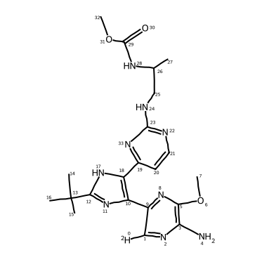 [2H]c1nc(N)c(OC)nc1-c1nc(C(C)(C)C)[nH]c1-c1ccnc(NCC(C)NC(=O)OC)n1